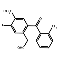 CCOC(=O)c1cc(C(=O)c2ccccc2C(F)(F)F)c(CC=O)cc1F